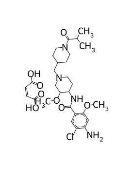 COc1cc(N)c(Cl)cc1C(=O)NC1CCN(CC2CCN(C(=O)C(C)C)CC2)CC1OC.O=C(O)/C=C\C(=O)O